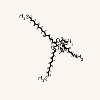 CCCCCCCCCCCCCCCC(OC(CC)NC(=O)[C@@H](N)CCCCN)C(C)OCCCCCCCCCCCC